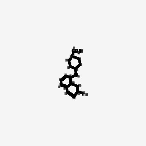 O=C(O)N1CCC(Oc2ccnc3ccc(F)cc23)CC1